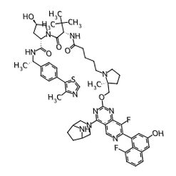 Cc1ncsc1-c1ccc([C@H](C)NC(=O)[C@@H]2C[C@@H](O)CN2C(=O)[C@@H](NC(=O)CCCCN2CCC[C@@]2(C)COc2nc(N3CC4CCC(C3)N4)c3cnc(-c4cc(O)cc5cccc(F)c45)c(F)c3n2)C(C)(C)C)cc1